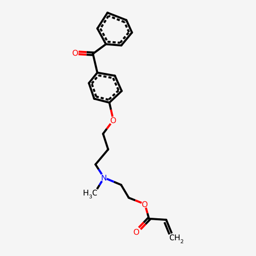 C=CC(=O)OCCN(C)CCCOc1ccc(C(=O)c2ccccc2)cc1